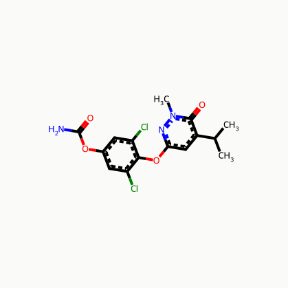 CC(C)c1cc(Oc2c(Cl)cc(OC(N)=O)cc2Cl)nn(C)c1=O